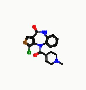 CN1CC=C(C(=O)N2c3ccccc3NC(=O)c3csc(Cl)c32)CC1